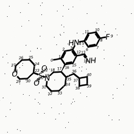 Cc1cc(Nc2ccc(F)cc2)c(C=N)cc1[C@@H]1CN(S(=O)(=O)C2CCCCOCC2)CCCCC1CC1CCC1